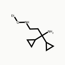 CCONCCC(N)(C1CC1)C1CC1